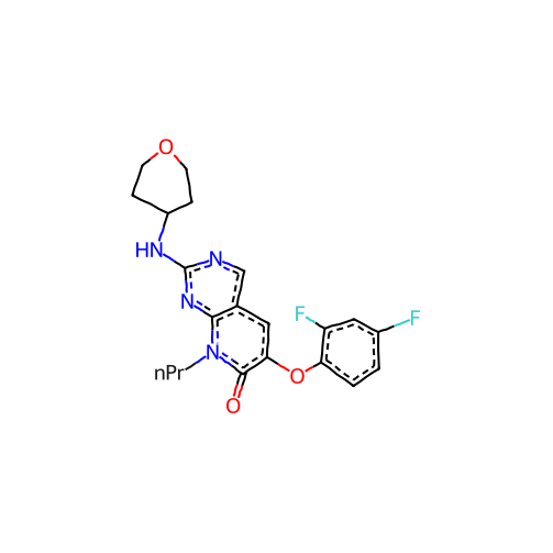 CCCn1c(=O)c(Oc2ccc(F)cc2F)cc2cnc(NC3CCOCC3)nc21